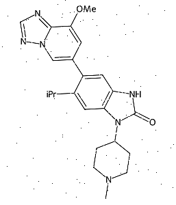 COc1cc(-c2cc3[nH]c(=O)n(C4CCN(C)CC4)c3cc2C(C)C)cn2ncnc12